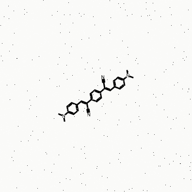 CN(C)c1ccc(C=C(C#N)c2ccc(C(C#N)=Cc3ccc(N(C)C)cc3)cc2)cc1